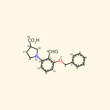 O=Cc1c(OCc2ccccc2)cccc1N1CCC(C(=O)O)C1